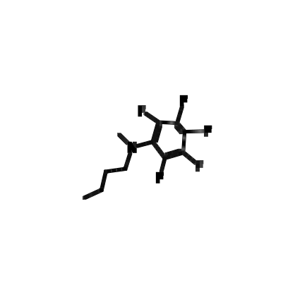 CCCCN(C)c1c(F)c(F)c(F)c(F)c1F